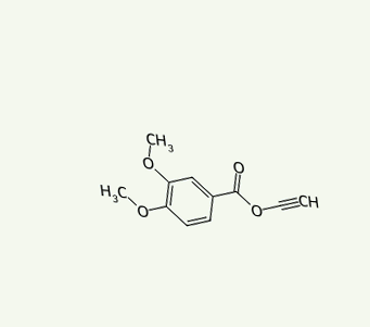 C#COC(=O)c1ccc(OC)c(OC)c1